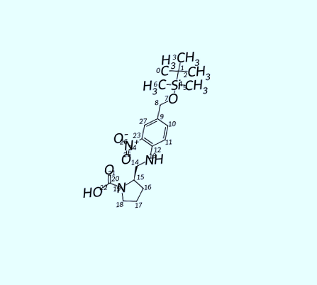 CC(C)(C)[Si](C)(C)OCc1ccc(NC[C@H]2CCCN2C(=O)O)c([N+](=O)[O-])c1